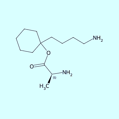 C[C@H](N)C(=O)OC1(CCCCN)CCCCC1